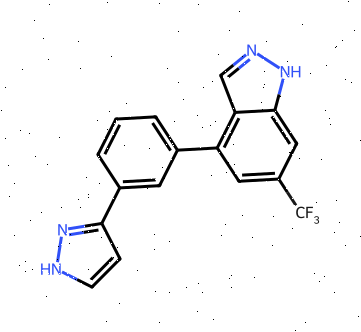 FC(F)(F)c1cc(-c2cccc(-c3cc[nH]n3)c2)c2cn[nH]c2c1